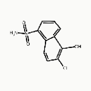 NS(=O)(=O)c1cccc2c(O)c(Cl)ccc12